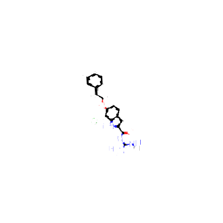 CNC(N)=NC(=O)c1cc2ccc(OCCc3ccccc3)cc2[nH]1.Cl